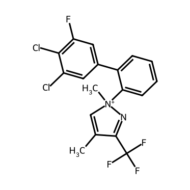 CC1=C[N+](C)(c2ccccc2-c2cc(F)c(Cl)c(Cl)c2)N=C1C(F)(F)F